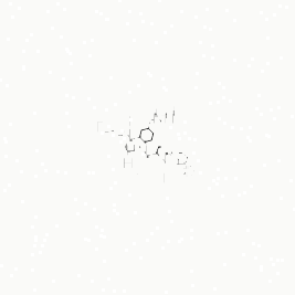 C=C(Nc1ccc(CNC)cc1C(=O)NCCCF)c1csc(N2CC[C@H](OC)C2)n1